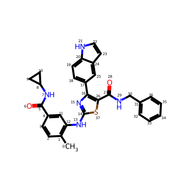 Cc1ccc(C(=O)NC2CC2)cc1Nc1nc(-c2ccc3[nH]ccc3c2)c(C(=O)NCc2ccccc2)s1